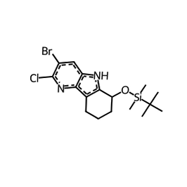 CC(C)(C)[Si](C)(C)OC1CCCc2c1[nH]c1cc(Br)c(Cl)nc21